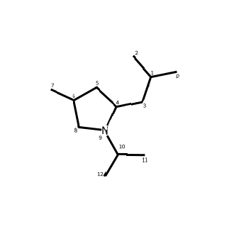 CC(C)CC1CC(C)CN1C(C)C